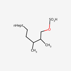 CCCCCCCCCC(C)C(C)COS(=O)(=O)O